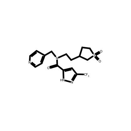 O=C(c1cc(C(F)(F)F)n[nH]1)N(CCC1CCS(=O)(=O)C1)Cc1ccncc1